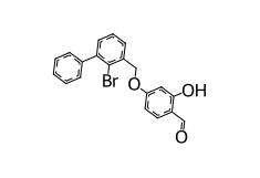 O=Cc1ccc(OCc2cccc(-c3ccccc3)c2Br)cc1O